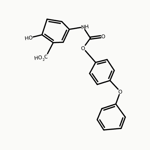 O=C(Nc1ccc(O)c(C(=O)O)c1)Oc1ccc(Oc2ccccc2)cc1